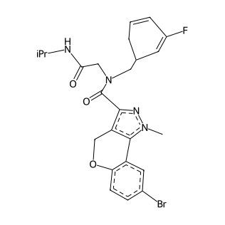 CC(C)NC(=O)CN(CC1C=C(F)C=CC1)C(=O)c1nn(C)c2c1COc1ccc(Br)cc1-2